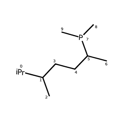 CC(C)C(C)CCC(C)P(C)C